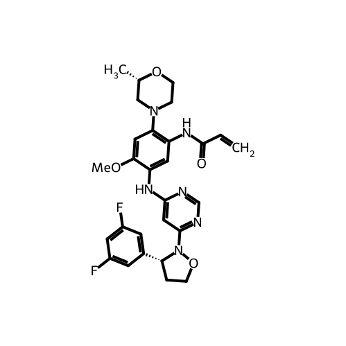 C=CC(=O)Nc1cc(Nc2cc(N3OCC[C@@H]3c3cc(F)cc(F)c3)ncn2)c(OC)cc1N1CCO[C@@H](C)C1